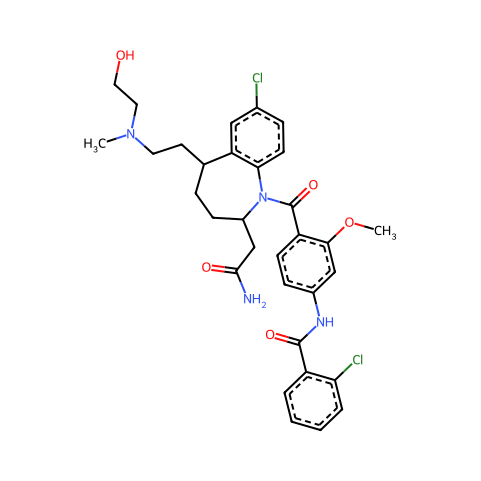 COc1cc(NC(=O)c2ccccc2Cl)ccc1C(=O)N1c2ccc(Cl)cc2C(CCN(C)CCO)CCC1CC(N)=O